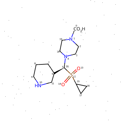 O=C(O)N1CCN([C@H](C2CCCNC2)S(=O)(=O)C2CC2)CC1